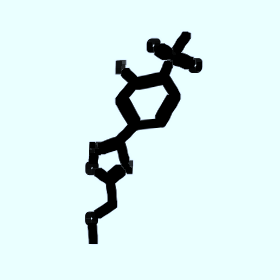 COCc1nc(-c2ccc(S(C)(=O)=O)c(F)c2)no1